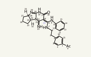 CC(=O)c1ccc(CCN/C(Nc2ccccc2)=c2/c(=O)[nH]c3n(c2=N)[C@H]2CCC[C@H]2N=3)cc1